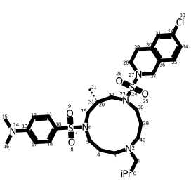 CC(C)CN1CCCN(S(=O)(=O)c2ccc(N(C)C)cc2)C[C@H](C)CN(S(=O)(=O)N2CCc3cc(Cl)ccc3C2)CCC1